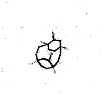 BrC1C[C@H]2CC[C@@H]1CC[C@@H]1CC[C@H](CC2)C(Br)C1